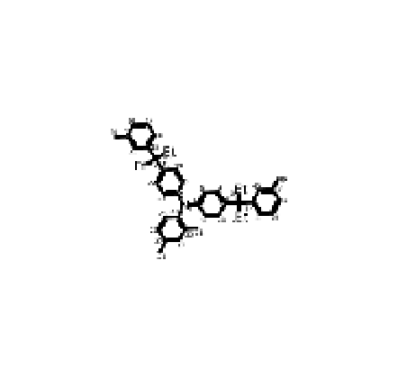 CCC(CC)(C1=CC=C(N(c2ccc(C(CC)(CC)c3cccc(C)c3)cc2)c2ccc(C)cc2C)CC1)c1cccc(C)c1